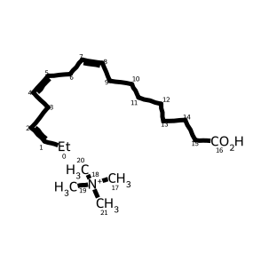 CC/C=C\C/C=C\C/C=C\CCCCCCCC(=O)O.C[N+](C)(C)C